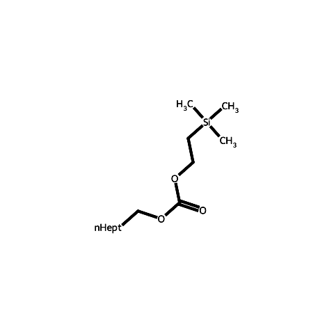 CCCCCCCCOC(=O)OCC[Si](C)(C)C